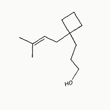 CC(C)=CCC1(CCCO)CCC1